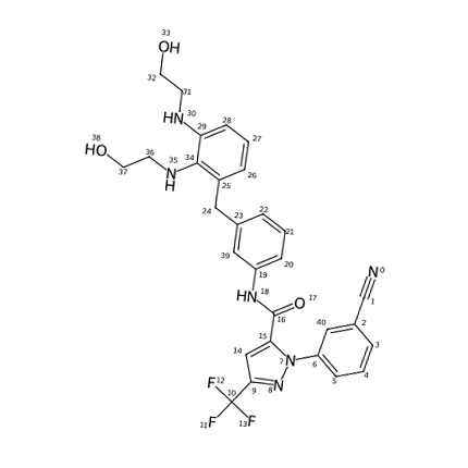 N#Cc1cccc(-n2nc(C(F)(F)F)cc2C(=O)Nc2cccc(Cc3cccc(NCCO)c3NCCO)c2)c1